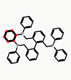 c1ccc(P(Cc2ccccc2-c2c(CP(c3ccccc3)c3ccccc3)cccc2CP(c2ccccc2)c2ccccc2)c2ccccc2)cc1